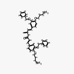 C=C(/C=C/c1ccc(OCCCN)c(OCc2ccccc2)c1)CC(=O)/C=C/c1ccc(OCCCN)c(OCc2ccccc2)c1